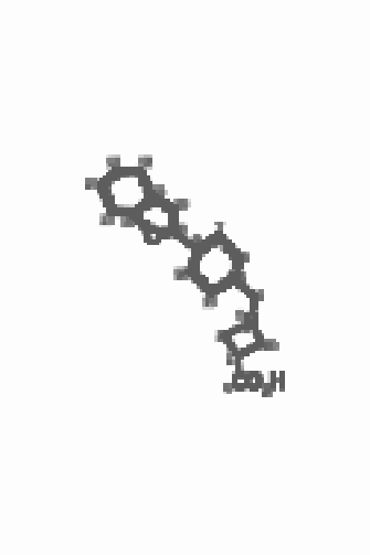 O=C(O)C1CN(Cc2ccc(-c3cc4ccccc4o3)cc2)C1